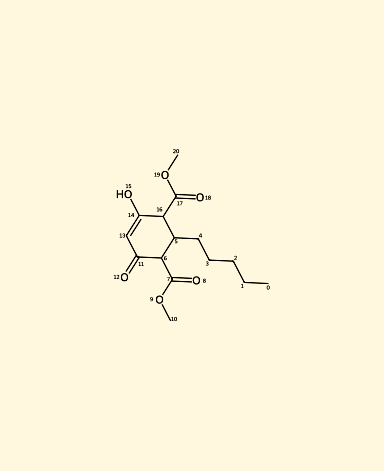 CCCCCC1C(C(=O)OC)C(=O)C=C(O)C1C(=O)OC